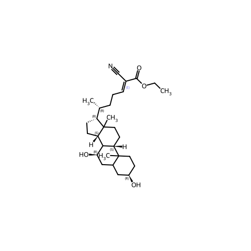 CCOC(=O)/C(C#N)=C/CC[C@@H](C)[C@H]1CC[C@H]2C3[C@H](O)CC4C[C@H](O)CCC4(C)[C@H]3CCC12C